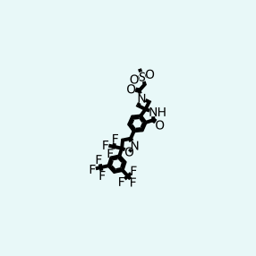 CS(=O)(=O)CC(=O)N1CC2(C1)NC(=O)c1cc(C3=NOC(c4cc(C(F)(F)F)cc(C(F)(F)F)c4)(C(F)(F)F)C3)ccc12